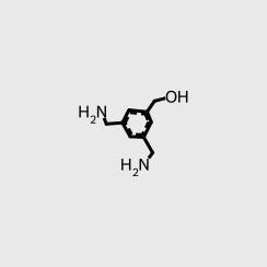 NCc1cc(CN)cc(CO)c1